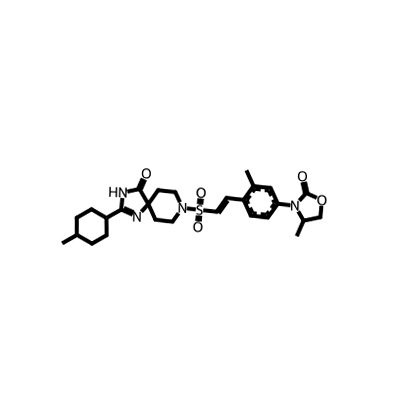 Cc1cc(N2C(=O)OCC2C)ccc1C=CS(=O)(=O)N1CCC2(CC1)N=C(C1CCC(C)CC1)NC2=O